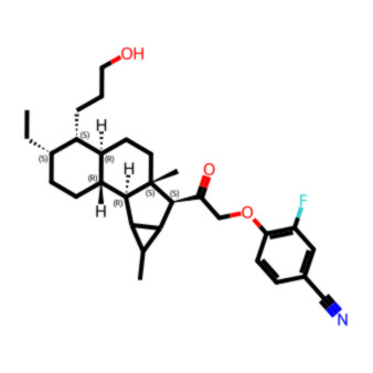 CC[C@H]1CC[C@@H]2[C@H](CC[C@]3(C)[C@@H](C(=O)COc4ccc(C#N)cc4F)C4C(C)C4[C@@H]23)[C@H]1CCCO